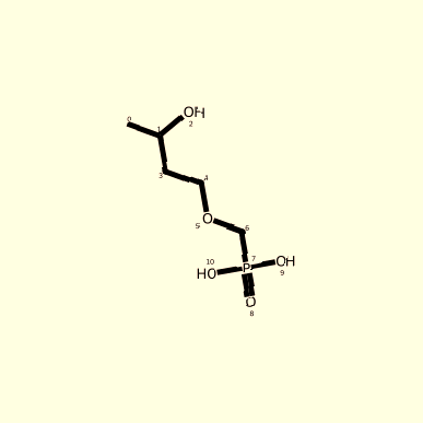 CC(O)CCOCP(=O)(O)O